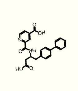 O=C(O)CC(Cc1ccc(-c2ccccc2)cc1)NC(=O)c1cc(C(=O)O)ccn1